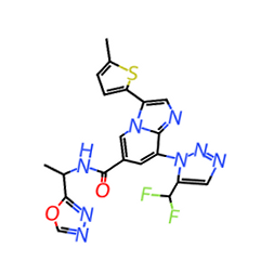 Cc1ccc(-c2cnc3c(-n4nncc4C(F)F)cc(C(=O)NC(C)c4nnco4)cn23)s1